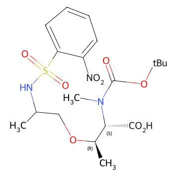 CC(CO[C@H](C)[C@@H](C(=O)O)N(C)C(=O)OC(C)(C)C)NS(=O)(=O)c1ccccc1[N+](=O)[O-]